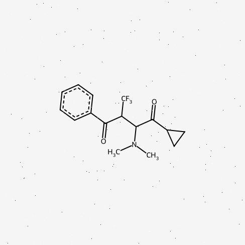 CN(C)[C](C(=O)C1CC1)C(C(=O)c1ccccc1)C(F)(F)F